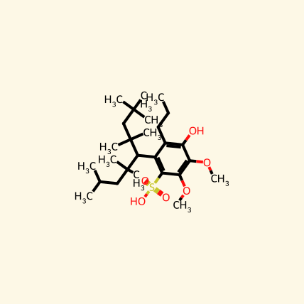 CCCc1c(O)c(OC)c(OC)c(S(=O)(=O)O)c1C(C(C)(C)CC(C)C)C(C)(C)CC(C)(C)C